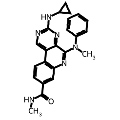 CNC(=O)c1ccc2c(c1)nc(N(C)c1ccccc1)c1nc(NC3CC3)ncc12